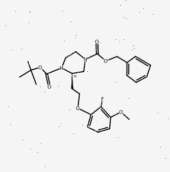 COc1cccc(OCC[C@@H]2CN(C(=O)OCc3ccccc3)CCN2C(=O)OC(C)(C)C)c1F